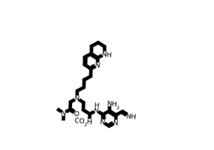 CN(C)C(=O)CN(CCCCc1ccc2c(n1)NCCC2)CCC(Nc1ncnc(C=N)c1N)C(=O)O